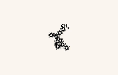 Cc1cccc(-c2ccc(-c3nc(-c4ccccc4)nc(-c4cc5oc6cccc(-c7cccc(-c8ccccc8)c7)c6c5c5ccccc45)n3)cc2)c1